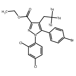 [2H]C([2H])([2H])Cc1c(C(=O)OCC)nn(-c2ccc(Cl)cc2Cl)c1-c1ccc(Br)cc1